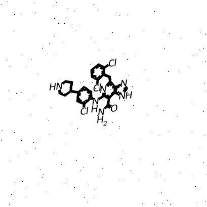 NC(=O)c1c(Nc2ccc(C3CCNCC3)cc2Cl)nc(Cc2c(Cl)cccc2Cl)c2nc[nH]c12